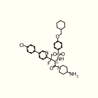 NC1CCN(C(=O)[C@H](NS(=O)(=O)c2ccc(OCC3CCCCC3)cc2)C(F)(F)c2ccc(-c3ccc(Cl)cc3)cn2)CC1